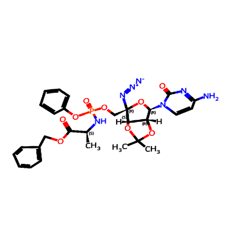 C[C@H](NP(=O)(OC[C@@]1(N=[N+]=[N-])O[C@@H](n2ccc(N)nc2=O)[C@@H]2OC(C)(C)O[C@@H]21)Oc1ccccc1)C(=O)OCc1ccccc1